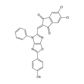 N#Cc1ccc(-c2nc3c(nc(C=C4C(=O)c5cc(Cl)c(Cl)cc5C4=O)n3-c3ccccc3)o2)cc1